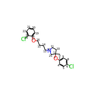 CC1(Oc2ccc(Cl)cc2)CCN(CCCCOc2ccccc2Cl)C1